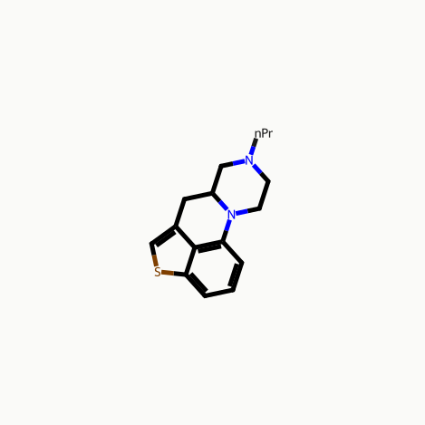 CCCN1CCN2c3cccc4scc(c34)CC2C1